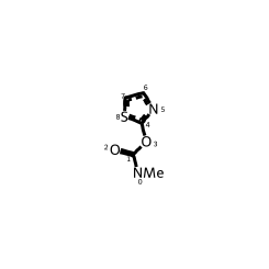 CNC(=O)Oc1nccs1